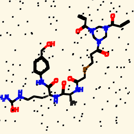 C=CC(=O)N1CN(C(=O)C=C)CN(C(=O)CCSCC(=O)N[C@H](C(=O)N[C@H](CCCNC(N)O)C(=O)Nc2ccc(CO)cc2)C(C)C)C1